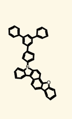 c1ccc(-c2cc(-c3ccccc3)cc(-c3ccc(-n4c5ccccc5c5c6ccc7c8ccccc8oc7c6ccc54)cc3)c2)cc1